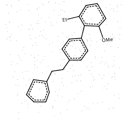 CCc1cccc(OC)c1-c1ccc([CH]Cc2ccccc2)cc1